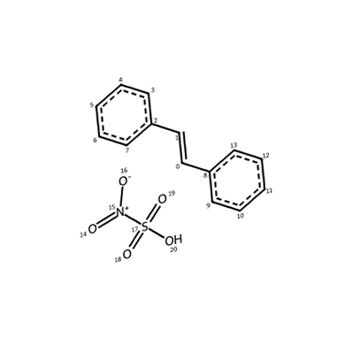 C(=Cc1ccccc1)c1ccccc1.O=[N+]([O-])S(=O)(=O)O